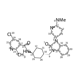 CNc1ccc(-n2c(=O)n(C[C@H]3CC[C@H](NC(=O)c4cc(Cl)cnc4C)CC3)c3ccccc32)cn1